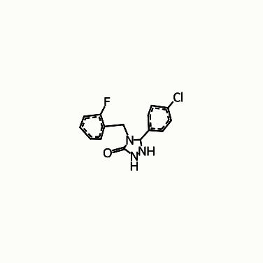 O=C1NNC(c2ccc(Cl)cc2)N1Cc1ccccc1F